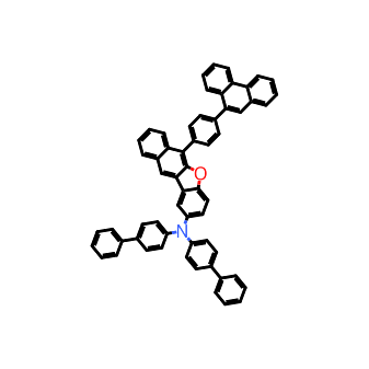 c1ccc(-c2ccc(N(c3ccc(-c4ccccc4)cc3)c3ccc4oc5c(-c6ccc(-c7cc8ccccc8c8ccccc78)cc6)c6ccccc6cc5c4c3)cc2)cc1